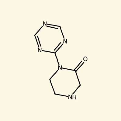 O=C1CNCCN1c1ncncn1